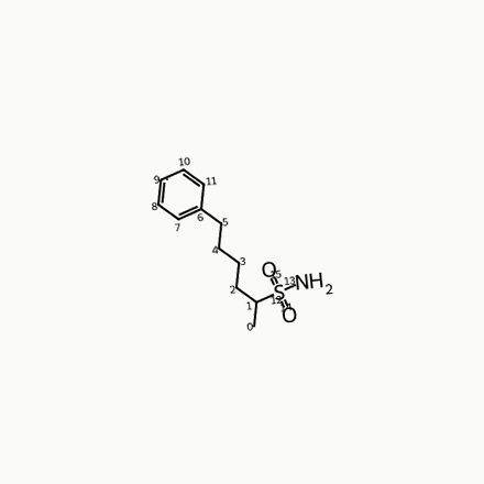 CC(CCCCc1cc[c]cc1)S(N)(=O)=O